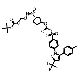 Cc1ccc(-c2cc(C(F)(F)F)nn2-c2ccc(S(=O)(=O)NC(=O)OC3CCN(/[N+]([O-])=N\OCOC(=O)OC(C)(C)C)C3)cc2)cc1